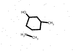 CC1CCCC(O)C1.CN